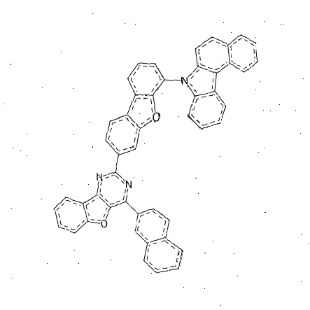 c1ccc2cc(-c3nc(-c4ccc5c(c4)oc4c(-n6c7ccccc7c7c8ccccc8ccc76)cccc45)nc4c3oc3ccccc34)ccc2c1